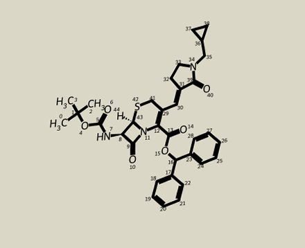 CC(C)(C)OC(=O)N[C@@H]1C(=O)N2C(C(=O)OC(c3ccccc3)c3ccccc3)=C(C=C3CCN(CC4CC4)C3=O)CS[C@H]12